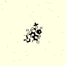 C[C@H](Oc1nc2c(F)c(Cl)ncc2c(N(C(=O)OC(C)(C)C)C2[C@@H]3CC[C@H]2C3)c1N)[C@@H]1CCCN1C